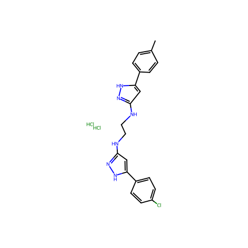 Cc1ccc(-c2cc(NCCNc3cc(-c4ccc(Cl)cc4)[nH]n3)n[nH]2)cc1.Cl.Cl